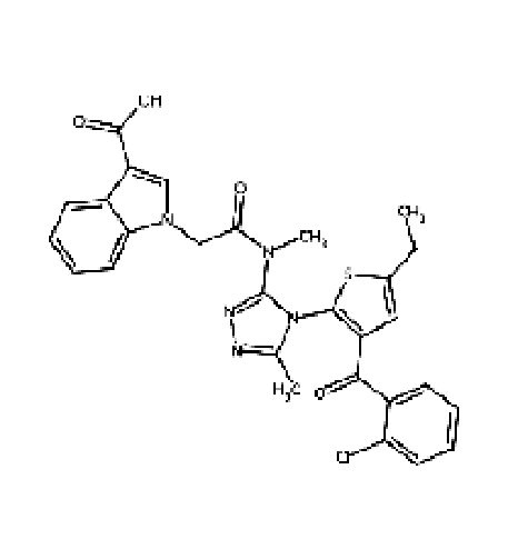 CCc1cc(C(=O)c2ccccc2Cl)c(-n2c(C)nnc2N(C)C(=O)Cn2cc(C(=O)O)c3ccccc32)s1